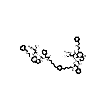 CC[C@H](NC)C(=O)N[C@@H]1C(=O)N2[C@@H](CC[C@@H]1CCNCc1ccccc1)CC[C@H]2C(=O)N[C@H](C(=O)NCCCCc1ccc(CCCCNC(=O)[C@@H](NC(=O)[C@@H]2CC[C@@H]3CC[C@H](CCNCc4ccccc4)[C@H](NC(=O)[C@H](CC)NC)CN32)c2ccccc2)cc1)c1ccccc1